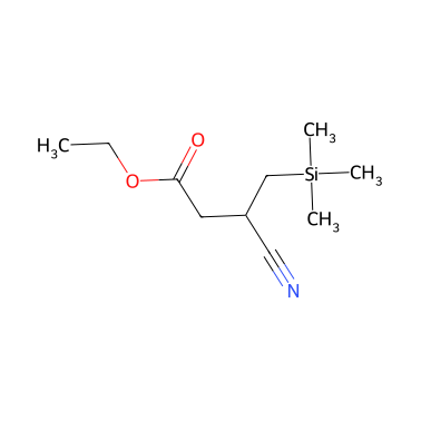 CCOC(=O)CC(C#N)C[Si](C)(C)C